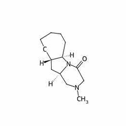 CN1CC(=O)N2[C@H](C[C@@H]3CCCCC[C@H]32)C1